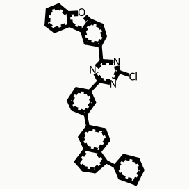 Clc1nc(-c2cccc(-c3ccc4c(-c5ccccc5)cccc4c3)c2)nc(-c2ccc3oc4ccccc4c3c2)n1